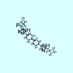 CC1(Cc2ncc(-c3ccc(-c4ccc(-c5cnc(C(F)C6(C)CCC6)[nH]5)cc4)cc3)[nH]2)CCC1